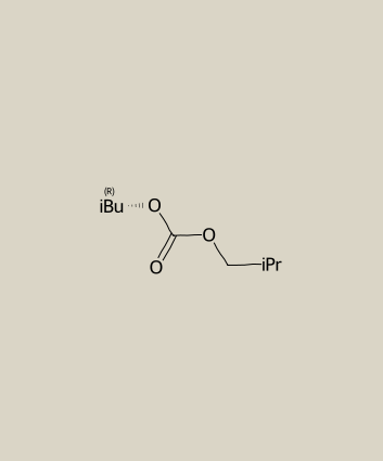 C[CH][C@@H](C)OC(=O)OCC(C)C